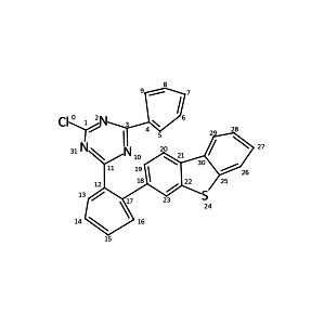 Clc1nc(-c2ccccc2)nc(-c2ccccc2-c2ccc3c(c2)sc2ccccc23)n1